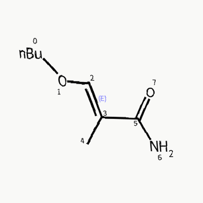 CCCCO/C=C(\C)C(N)=O